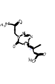 C/C(=C\n1nnn(CC(N)=O)c1=O)C(=O)O